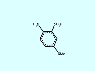 CSc1ccc(N)c(S(=O)(=O)O)c1